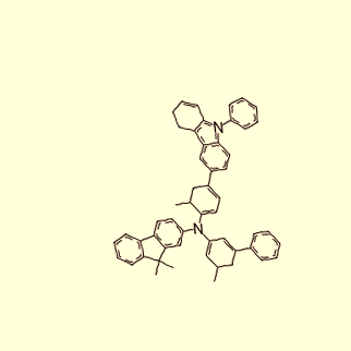 CC1C=C(N(C2=CC=C(c3ccc4c(c3)c3c(n4-c4ccccc4)C=CCC3)CC2C)c2ccc3c(c2)C(C)(C)c2ccccc2-3)C=C(c2ccccc2)C1